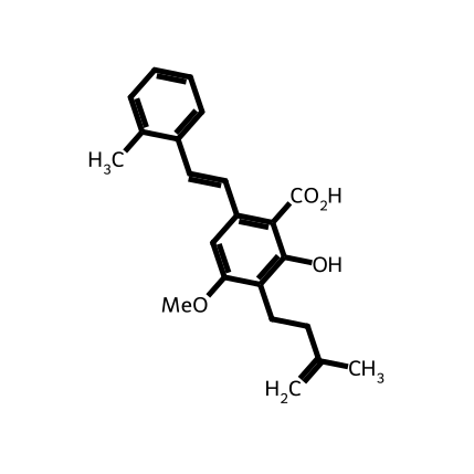 C=C(C)CCc1c(OC)cc(/C=C/c2ccccc2C)c(C(=O)O)c1O